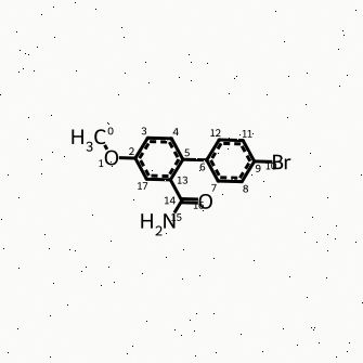 COc1ccc(-c2ccc(Br)cc2)c(C(N)=O)c1